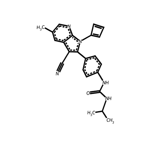 Cc1cnc2c(c1)c(C#N)c(-c1ccc(NC(=O)NC(C)C)cc1)n2C1=CC=C1